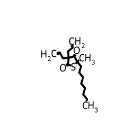 C=CCC1(CC=C)C(=O)SC(C)(CCCCCCCC)C1=O